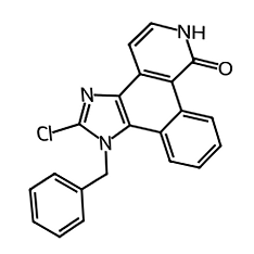 O=c1[nH]ccc2c3nc(Cl)n(Cc4ccccc4)c3c3ccccc3c12